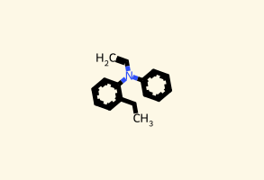 C=CN(c1ccccc1)c1ccccc1CC